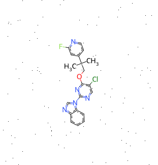 CC(C)(COc1nc(-n2cnc3ccccc32)ncc1Cl)c1ccnc(F)c1